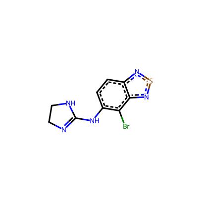 Brc1c(NC2=NCCN2)ccc2nsnc12